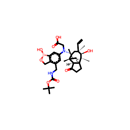 C=C[C@]1(C)C[C@@H](N(CC(=O)O)c2cc(CNC(=O)OC(C)(C)C)c3c(c2)B(O)OC3)[C@]2(C)[C@H](C)CC[C@]3(CCC(=O)[C@H]32)[C@@H](C)[C@@H]1O